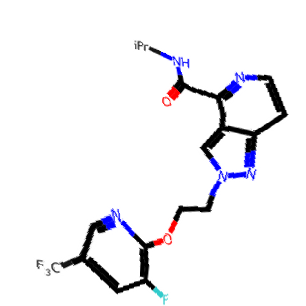 CC(C)NC(=O)c1nccc2nn(CCOc3ncc(C(F)(F)F)cc3F)cc12